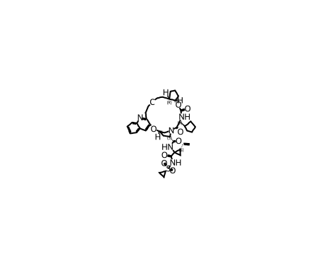 C=C[C@@H]1CC1(NC(=O)[C@@H]1C[C@@H]2CN1C(=O)[C@H](C1CCCC1)NC(=O)O[C@@H]1CCC[C@H]1CCCCCc1nc3ccccc3cc1O2)C(=O)NS(=O)(=O)C1CC1